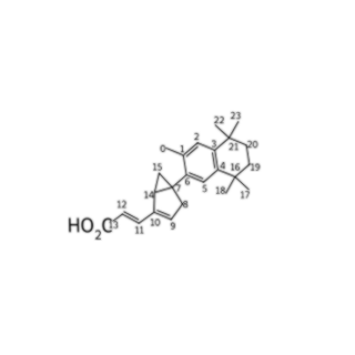 Cc1cc2c(cc1C13CC=C(C=CC(=O)O)C1C3)C(C)(C)CCC2(C)C